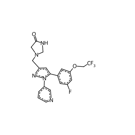 O=C1CN(Cc2cc(-c3cc(F)cc(OCC(F)(F)F)c3)n(-c3cccnc3)n2)CN1